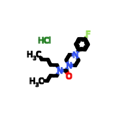 CCCCCN(CCCC)C(=O)N1CCN(c2ccc(F)cc2)CC1.Cl